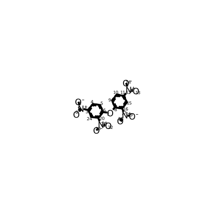 O=[N+]([O-])c1ccc(Oc2ccc([N+](=O)[O-])cc2[N+](=O)[O-])c([N+](=O)[O-])c1